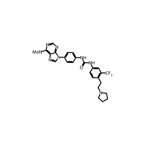 CNc1ncnc2c1ncn2-c1ccc(NC(=O)Nc2ccc(CCN3CCCC3)c(C(F)(F)F)c2)cc1